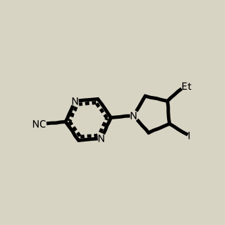 CCC1CN(c2cnc(C#N)cn2)CC1I